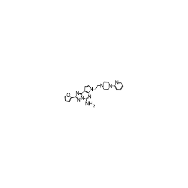 Nc1nc2c(ccn2CCN2CCN(c3ccccn3)CC2)c2nc(-c3ccco3)nn12